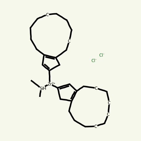 C[SiH](C)[Zr+2]([C]1=CC2=C(CCCCCCCCCC2)C1)[C]1=CC2=C(CCCCCCCCCC2)C1.[Cl-].[Cl-]